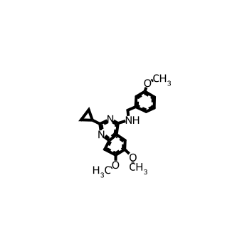 COc1cccc(CNc2nc(C3CC3)nc3cc(OC)c(OC)cc23)c1